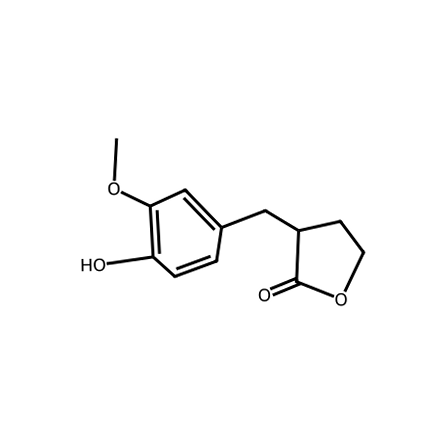 COc1cc(CC2CCOC2=O)ccc1O